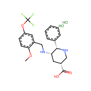 COc1ccc(OC(F)(F)F)cc1CN[C@H]1C[C@@H](C(=O)O)CN[C@H]1c1ccccc1.Cl.Cl